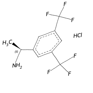 C[C@H](N)c1cc(C(F)(F)F)cc(C(F)(F)F)c1.Cl